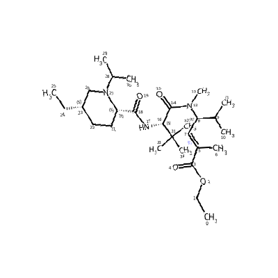 CCOC(=O)/C(C)=C/[C@H](C(C)C)N(C)C(=O)[C@@H](NC(=O)[C@@H]1CC[C@H](CC)CN1C(C)C)C(C)(C)C